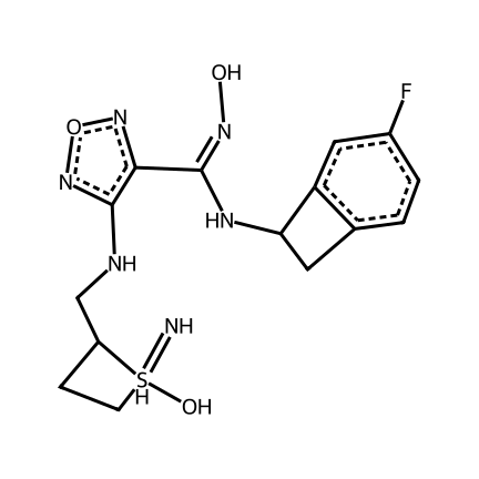 N=[SH]1(O)CCC1CNc1nonc1C(=NO)NC1Cc2ccc(F)cc21